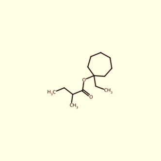 CCC(C)C(=O)OC1(CC)CCCCCC1